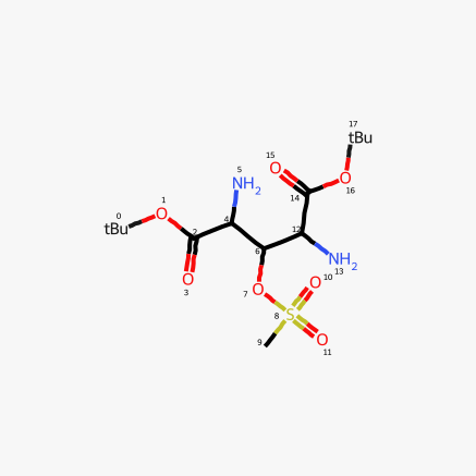 CC(C)(C)OC(=O)C(N)C(OS(C)(=O)=O)C(N)C(=O)OC(C)(C)C